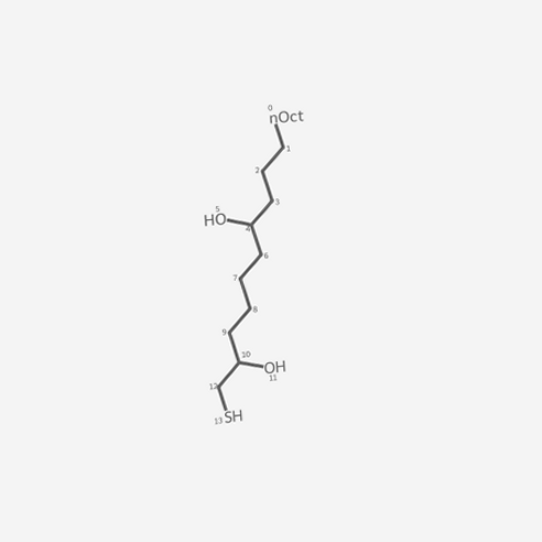 CCCCCCCCCCCC(O)CCCCC(O)CS